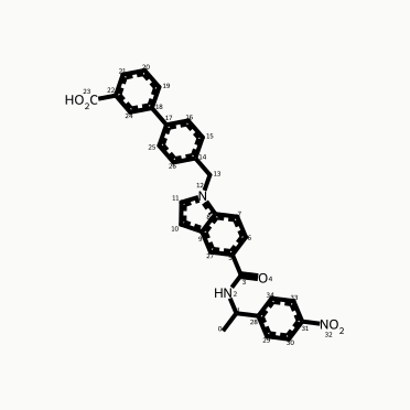 CC(NC(=O)c1ccc2c(ccn2Cc2ccc(-c3cccc(C(=O)O)c3)cc2)c1)c1ccc([N+](=O)[O-])cc1